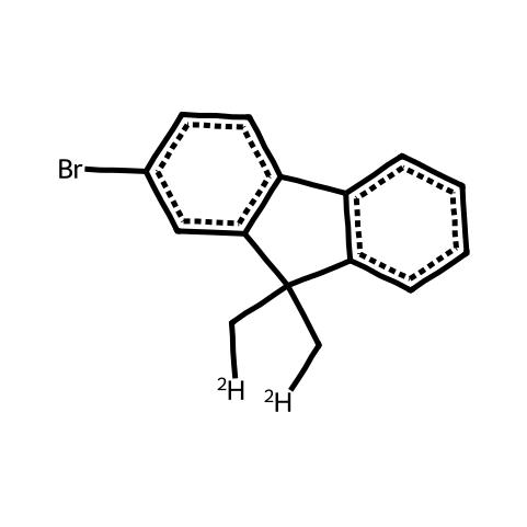 [2H]CC1(C[2H])c2ccccc2-c2ccc(Br)cc21